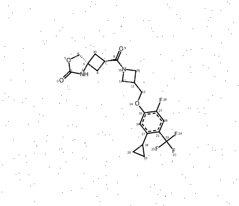 O=C1N[C@]2(CO1)C[C@H](C(=O)N1CC(COc3cc(C4CC4)c(C(F)(F)F)cc3F)C1)C2